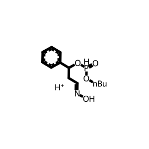 CCCCO[PH](=O)OC(CC=NO)c1ccccc1.[H+]